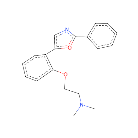 CN(C)CCOc1ccccc1-c1cnc(-c2ccccc2)o1